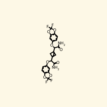 NC(=O)C(Oc1ccc2c(c1)OC(F)(F)O2)C12CC(C(Oc3ccc4c(c3)OC(F)(F)O4)C(N)=O)(C1)C2